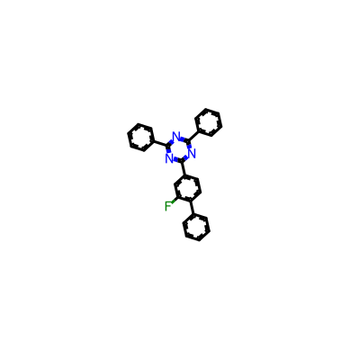 Fc1cc(-c2nc(-c3ccccc3)nc(-c3ccccc3)n2)ccc1-c1ccccc1